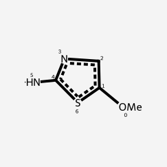 COc1cnc([NH])s1